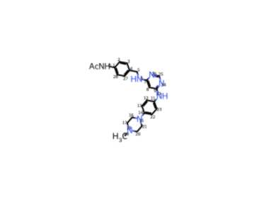 CC(=O)Nc1ccc(CNc2cc(Nc3ccc(N4CCN(C)CC4)cc3)ncn2)cc1